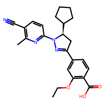 CCOc1cc(C2=NN(c3ccc(C#N)c(C)n3)[C@@H](C3CCCC3)C2)ccc1C(=O)O